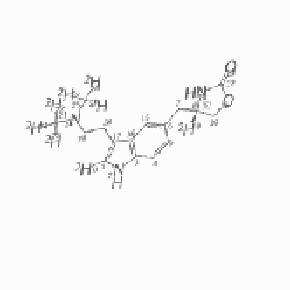 [2H]c1[nH]c2ccc(C[C@@]3([2H])COC(=O)N3)cc2c1CCN(C([2H])([2H])[2H])C([2H])([2H])[2H]